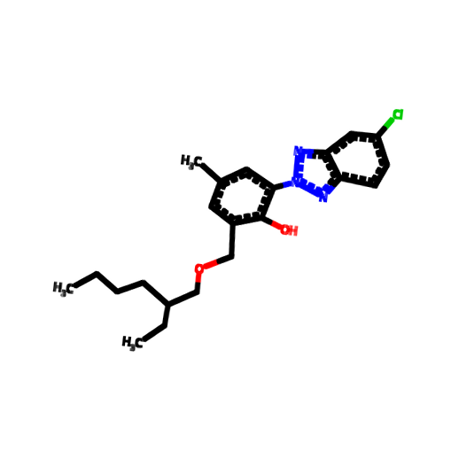 CCCCC(CC)COCc1cc(C)cc(-n2nc3ccc(Cl)cc3n2)c1O